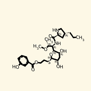 CCC[C@H]1CN[C@H](C(=O)N[C@@H]([C@H]2O[C@H](SCCOC(=O)c3cccc(O)c3)[C@H](O)C[C@H]2O)[C@@H](C)OC)C1